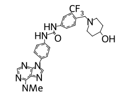 CNc1ncnc2c1ncn2-c1ccc(NC(=O)Nc2ccc(CN3CCC(O)CC3)c(C(F)(F)F)c2)cc1